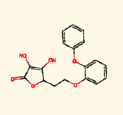 O=C1OC(CCOc2ccccc2Oc2ccccc2)C(O)=C1O